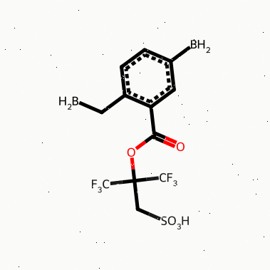 BCc1ccc(B)cc1C(=O)OC(CS(=O)(=O)O)(C(F)(F)F)C(F)(F)F